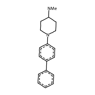 CNC1CCN(c2ccc(-c3ccccc3)cc2)CC1